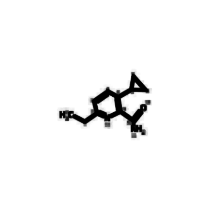 CCc1ccc(C2CC2)c(C(N)=O)n1